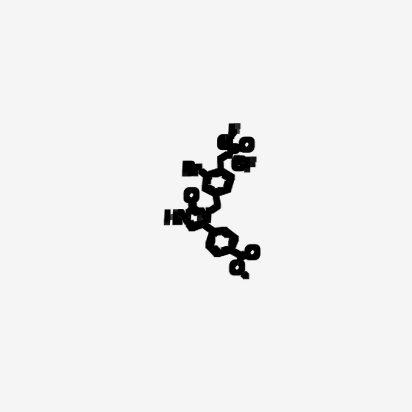 COC(=O)c1ccc(-c2c[nH]c(=O)n2Cc2ccc(CP(=O)(OF)OF)c(Br)c2)cc1